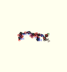 CC1(C)CCC(CN2CCN(c3ccc(C(=O)NS(=O)(=O)c4ccc(NCC5CCN(CCOCCNc6cccc7c6C(=O)N(C6CCC(=O)NC6=O)C7=O)CC5)c([N+](=O)[O-])c4)c(Oc4cnc5[nH]ccc5c4)c3)CC2)=C(c2ccc(Cl)cc2)C1